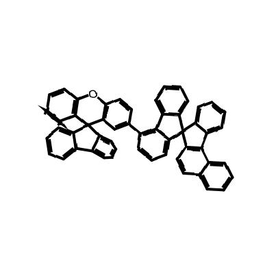 c1ccc2c(c1)-c1c(-c3ccc4c(c3)C3(c5ccccc5-c5ccccc53)c3c(ccc5ccccc35)O4)cccc1C21c2ccccc2-c2c1ccc1ccccc21